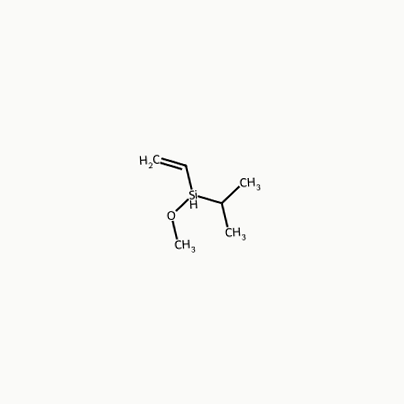 C=C[SiH](OC)C(C)C